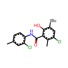 Cc1ccc(NC(=O)c2c(C)c(Cl)cc(C(C)(C)C)c2O)c(Cl)c1